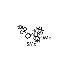 COc1nc(SC)nc(NC2CCCN(C(=O)OC(C)(C)C)C2)c1B1OC(C)(C)C(C)(C)O1